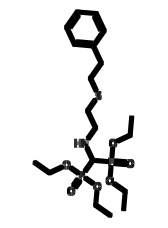 CCOP(=O)(OCC)C(NCCSCCc1ccccc1)P(=O)(OCC)OCC